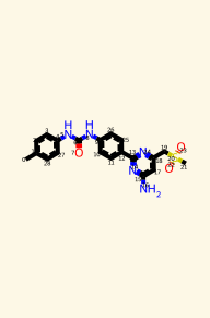 Cc1ccc(NC(=O)Nc2ccc(-c3nc(N)cc(CS(C)(=O)=O)n3)cc2)cc1